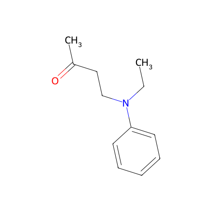 CCN(CCC(C)=O)c1ccccc1